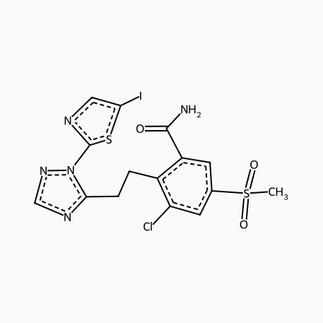 CS(=O)(=O)c1cc(Cl)c(CCc2ncnn2-c2ncc(I)s2)c(C(N)=O)c1